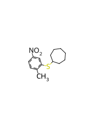 Cc1ccc([N+](=O)[O-])cc1SC1CCCCCC1